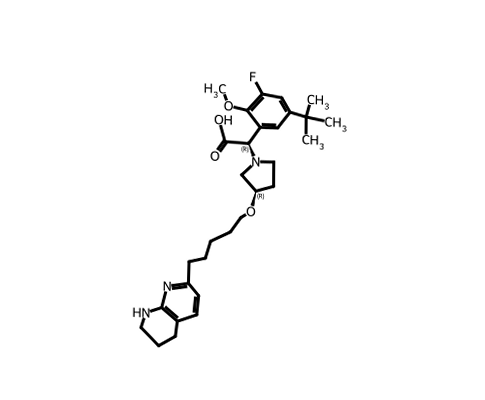 COc1c(F)cc(C(C)(C)C)cc1[C@H](C(=O)O)N1CC[C@@H](OCCCCCc2ccc3c(n2)NCCC3)C1